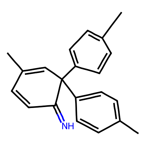 CC1=CC(c2ccc(C)cc2)(c2ccc(C)cc2)C(=N)C=C1